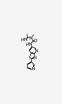 CC(=N)N(C)C(=O)Nc1cnc2nc(-c3cccnc3)sc2c1